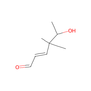 CC(O)C(C)(C)C=CC=O